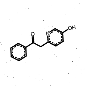 O=C(Cc1ccc(O)cn1)c1ccccc1